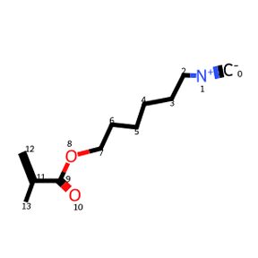 [C-]#[N+]CCCCCCOC(=O)C(=C)C